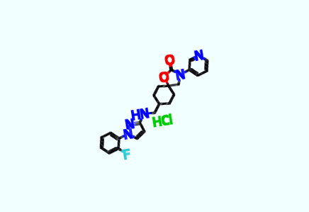 Cl.O=C1OC2(CCC(CNc3ccn(-c4ccccc4F)n3)CC2)CN1c1cccnc1